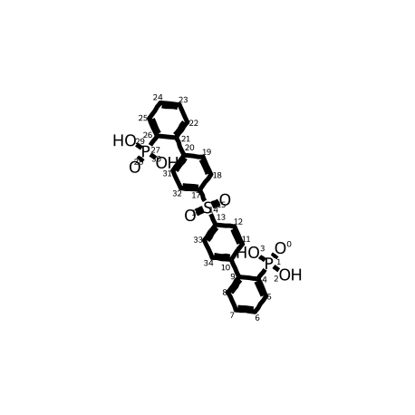 O=P(O)(O)c1ccccc1-c1ccc(S(=O)(=O)c2ccc(-c3ccccc3P(=O)(O)O)cc2)cc1